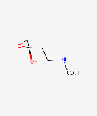 O=C(O)NCC[C@@]1(O)CO1